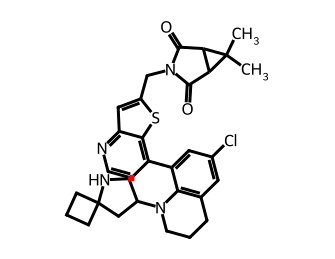 CC1(C)C2C(=O)N(Cc3cc4nccc(-c5cc(Cl)cc6c5N(C5CNC7(CCC7)C5)CCC6)c4s3)C(=O)C21